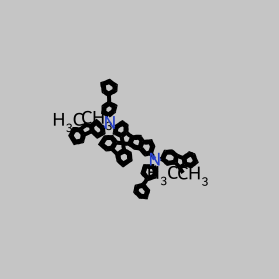 CC1(C)c2ccccc2-c2ccc(N(c3ccc(-c4ccccc4)cc3)c3ccc4c(c3)C3(c5ccccc5-c5ccccc53)c3cc5cc(N(c6ccc(-c7ccccc7)cc6)c6ccc7c(c6)C(C)(C)c6ccccc6-7)ccc5cc3-4)cc21